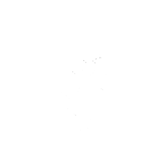 Cc1cc(Nc2nn([C@@H]3CCCOC3)c(/C=C\NC=O)c2C)ccc1C(=O)N1CCOCC1